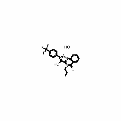 CCCn1c(=O)c2ccccc2[n+]2nn(-c3ccc(C(F)(F)F)cc3)c(O)c12.[OH-]